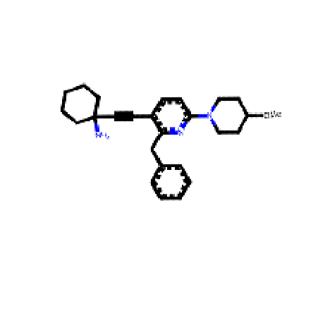 COC1CCN(c2ccc(C#CC3(N)CCCCC3)c(Cc3ccccc3)n2)CC1